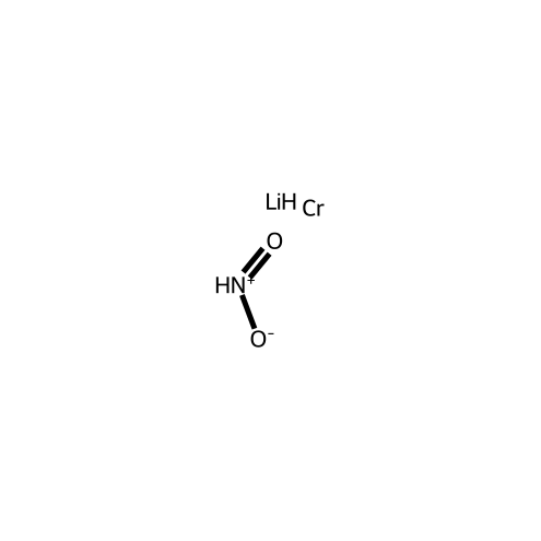 O=[NH+][O-].[Cr].[LiH]